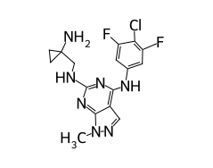 Cn1ncc2c(Nc3cc(F)c(Cl)c(F)c3)nc(NCC3(N)CC3)nc21